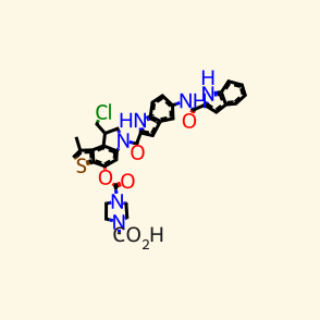 Cc1csc2c(OC(=O)N3CCN(C(=O)O)CC3)cc3c(c12)C(CCl)CN3C(=O)c1cc2cc(NC(=O)c3cc4ccccc4[nH]3)ccc2[nH]1